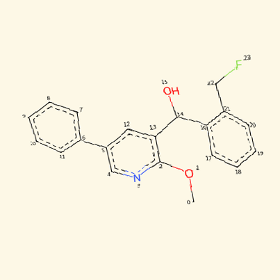 COc1ncc(-c2ccccc2)cc1C(O)c1ccccc1CF